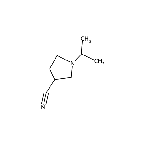 CC(C)N1CCC(C#N)C1